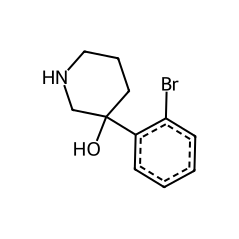 OC1(c2ccccc2Br)CCCNC1